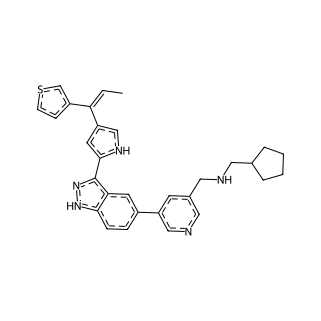 C/C=C(/c1ccsc1)c1c[nH]c(-c2n[nH]c3ccc(-c4cncc(CNCC5CCCC5)c4)cc23)c1